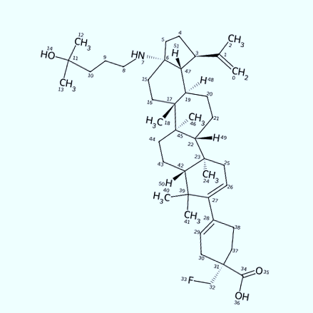 C=C(C)[C@@H]1CC[C@]2(NCCCC(C)(C)O)CC[C@]3(C)[C@H](CC[C@@H]4[C@@]5(C)CC=C(C6=CC[C@](CF)(C(=O)O)CC6)C(C)(C)[C@@H]5CC[C@]43C)[C@@H]12